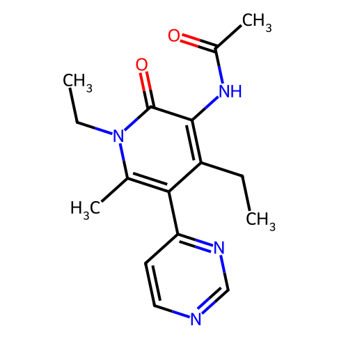 CCc1c(-c2ccncn2)c(C)n(CC)c(=O)c1NC(C)=O